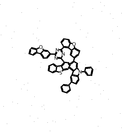 c1ccc(-c2ccc3c(c2)c2ccc(-c4ccc5oc6cccc(-c7nc(-c8ccc9c(c8)oc8ccccc89)nc(-c8cccc9sc%10ccccc%10c89)n7)c6c5c4)cc2n3-c2ccccc2)cc1